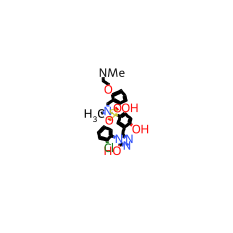 CNCCOc1ccccc1CN(C)S(=O)(=O)c1cc(-c2nnc(O)n2-c2ccccc2Cl)c(O)cc1O